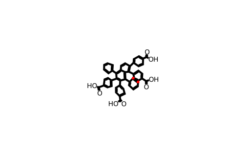 O=C(O)c1ccc(-c2ccc3c(-c4ccccc4)c(-c4ccc(C(=O)O)cc4)c(-c4ccc(C(=O)O)cc4)c(-c4ccccc4)c3c2-c2ccc(C(=O)O)cc2)cc1